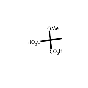 COC(C)(C(=O)O)C(=O)O